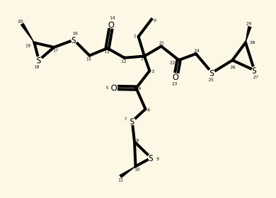 CCC(CC(=O)CSC1S[C@H]1C)(CC(=O)CSC1S[C@H]1C)CC(=O)CSC1S[C@@H]1C